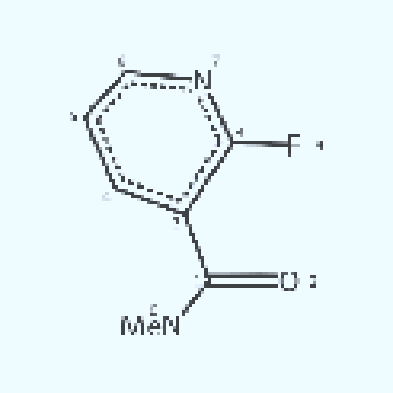 CNC(=O)c1cccnc1F